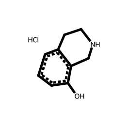 Cl.Oc1cccc2c1CNCC2